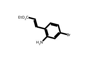 CCOC(=O)C=Cc1ccc(Br)cc1N